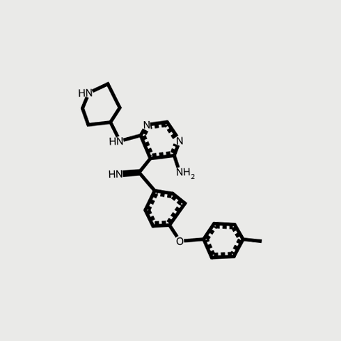 Cc1ccc(Oc2ccc(C(=N)c3c(N)ncnc3NC3CCNCC3)cc2)cc1